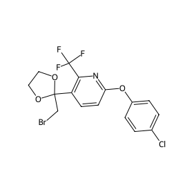 FC(F)(F)c1nc(Oc2ccc(Cl)cc2)ccc1C1(CBr)OCCO1